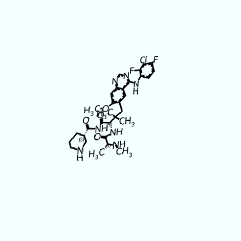 CN[C@@H](C)C(=O)N[C@H](C(=O)NC(=O)[C@H]1CCCNC1)C(C)(C)Cc1cc2c(Nc3ccc(F)c(Cl)c3F)ncnc2cc1OC